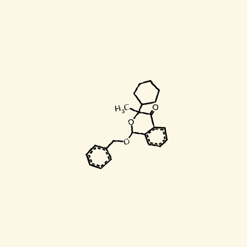 CC1(C2CCCCC2)OC(OCc2ccccc2)c2ccccc2C1=O